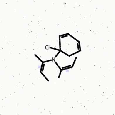 C/C=C(/C)N(/C(C)=C\C)C1(Cl)C=CC=CC1